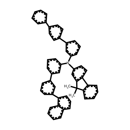 CC1(C)c2ccccc2-c2ccc(N(c3cccc(-c4ccc(-c5ccccc5)cc4)c3)c3cccc(-c4cccc(-c5cccc6ccccc56)c4)c3)cc21